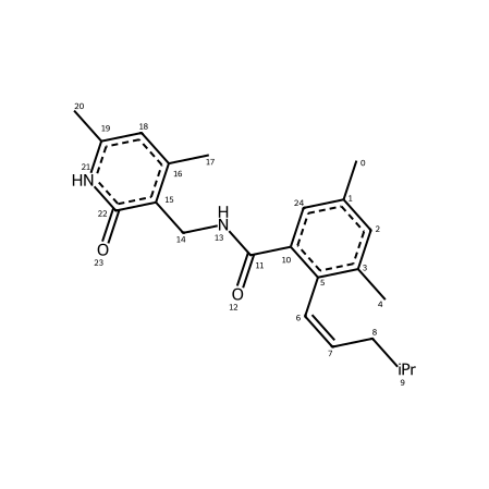 Cc1cc(C)c(/C=C\CC(C)C)c(C(=O)NCc2c(C)cc(C)[nH]c2=O)c1